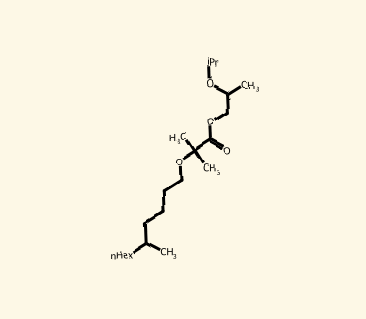 CCCCCCC(C)CCCCOC(C)(C)C(=O)OCC(C)OC(C)C